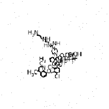 Cc1cc(C)c2cccc(OCc3c(Cl)ccc(S(=O)(=O)NC4(C(=O)N5CCN(C(=N)NCCNCCCN)CC5)CCCC4)c3Cl)c2n1.O=C(O)C(F)(F)F.O=C(O)C(F)(F)F